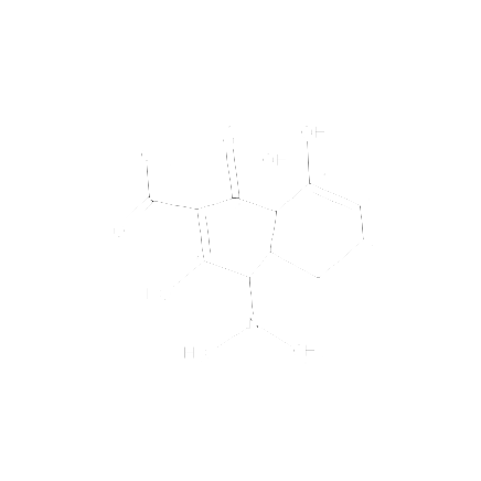 CC(=O)C1=C(O)C(N(C)C)C2CCC=C(O)[C@]2(O)C1=O